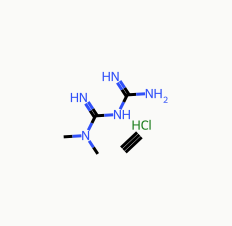 C#C.CN(C)C(=N)NC(=N)N.Cl